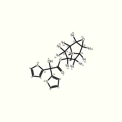 [2H]C1([2H])C([2H])(OC(=O)C(O)(c2cccs2)c2cccs2)C([2H])([2H])C2([2H])C3([2H])OC3([2H])C1([2H])[N+]2(C)C